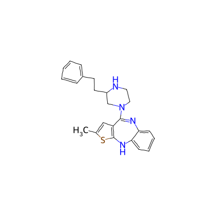 Cc1cc2c(s1)Nc1ccccc1N=C2N1CCNC(CCc2ccccc2)C1